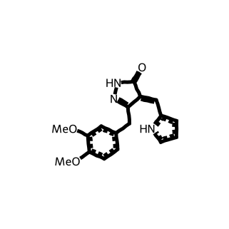 COc1ccc(CC2=NNC(=O)/C2=C/c2ccc[nH]2)cc1OC